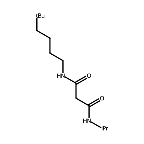 CC(C)NC(=O)CC(=O)NCCCCC(C)(C)C